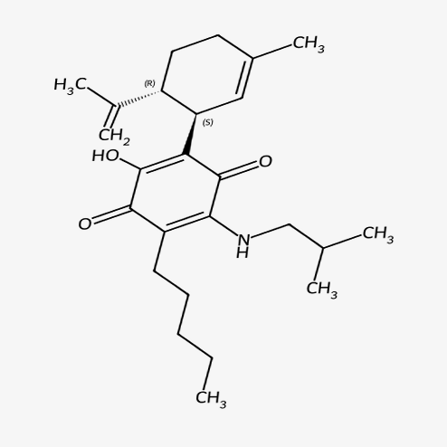 C=C(C)[C@@H]1CCC(C)=C[C@H]1C1=C(O)C(=O)C(CCCCC)=C(NCC(C)C)C1=O